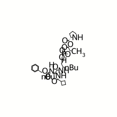 CCCCC(CCO[PH](=O)OC(C)C(=O)OC(=O)[C@@H]1CCCN1)NC(=O)C(CCCC)(NC(=O)OCc1ccccc1)NC(=O)C1CCC1